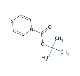 CC(C)(C)OC(=O)N1C=CSC=C1